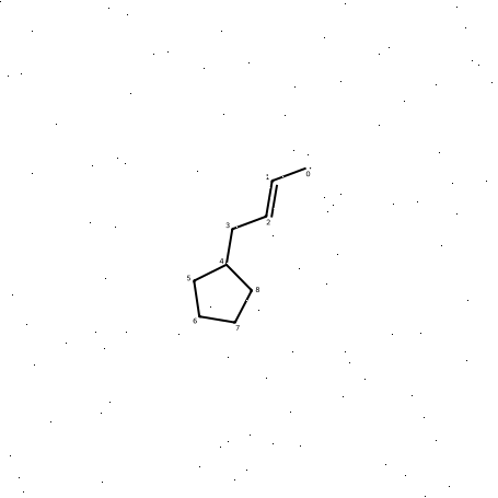 [CH2]C=CCC1CCCC1